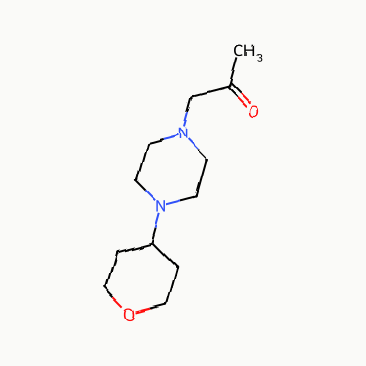 CC(=O)CN1CCN(C2CCOCC2)CC1